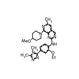 CCOc1cc(-c2nnc(C)n2C)ccc1Nc1ncc2cc(C)nc(N3CCC(OC)CC3)c2n1